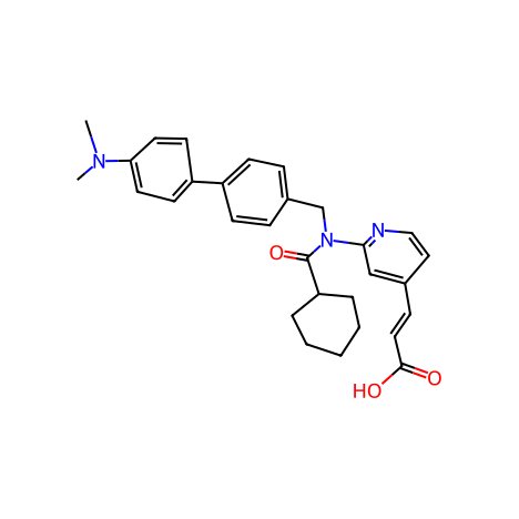 CN(C)c1ccc(-c2ccc(CN(C(=O)C3CCCCC3)c3cc(C=CC(=O)O)ccn3)cc2)cc1